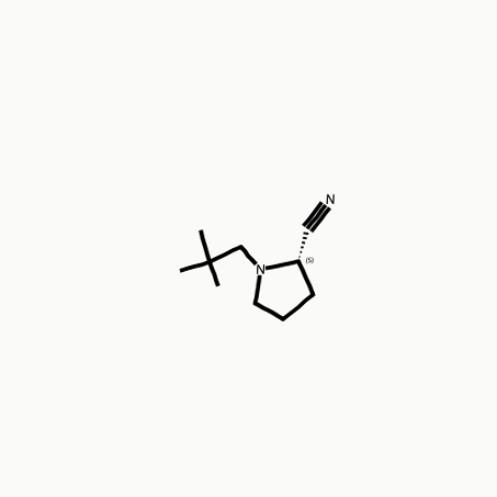 CC(C)(C)CN1CCC[C@H]1C#N